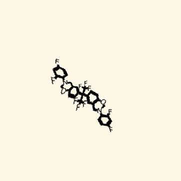 Fc1ccc(N2COc3ccc(C(c4ccc5c(c4)CN(c4ccc(F)cc4F)CO5)(C(F)(F)F)C(F)(F)F)cc3C2)c(F)c1